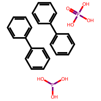 O=P(O)(O)O.OP(O)O.c1ccc(-c2ccccc2)cc1.c1ccc(-c2ccccc2)cc1